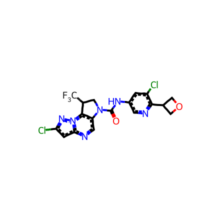 O=C(Nc1cnc(C2COC2)c(Cl)c1)N1CC(C(F)(F)F)c2c1cnc1cc(Cl)nn21